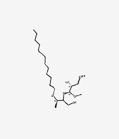 CCCCCCCCCCCCO[C@H](C)C(CO)O[C@H](OC)[C@H](O)CO